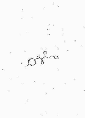 Cc1ccc(OC(=O)C(Cl)CCC#N)cc1